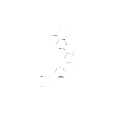 Nc1nc(F)c(-c2ccc(CN3CCOCC3)cc2)cc1-c1cc(F)c2c(c1)CCNC2=O